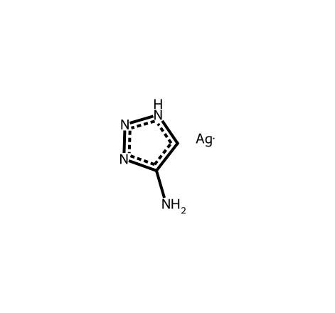 Nc1c[nH]nn1.[Ag]